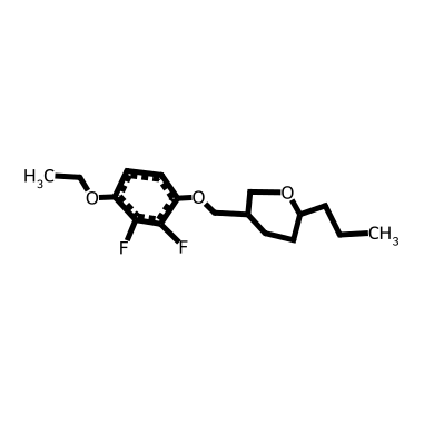 CCCC1CCC(COc2ccc(OCC)c(F)c2F)CO1